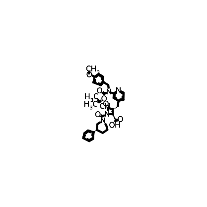 COc1ccc(CN(C(=O)OC(C)(C)C)c2cc(C[C@H]3C(=O)N(C(=O)N4CCC[C@H](c5ccccc5)C4)[C@@H]3C(=O)O)ccn2)cc1